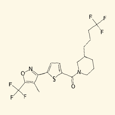 Cc1c(-c2ccc(C(=O)N3CCCC(CCCC(F)(F)F)C3)s2)noc1C(F)(F)F